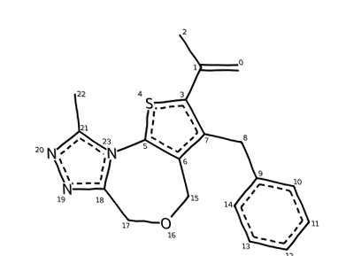 C=C(C)c1sc2c(c1Cc1ccccc1)COCc1nnc(C)n1-2